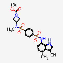 Cc1ccc(NS(=O)(=O)c2ccc(S(=O)(=O)N(C)C3CN(C(=O)OC(C)(C)C)C3)cc2)c2[nH]cc(C#N)c12